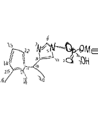 COP(=O)(O)On1cnc(C(C)c2cccc(C)c2C)c1